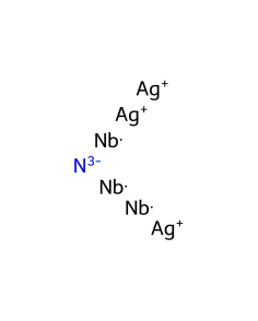 [Ag+].[Ag+].[Ag+].[N-3].[Nb].[Nb].[Nb]